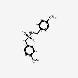 COc1ccc(CNS(=O)(=O)Cc2ccc(OC)cc2)cc1